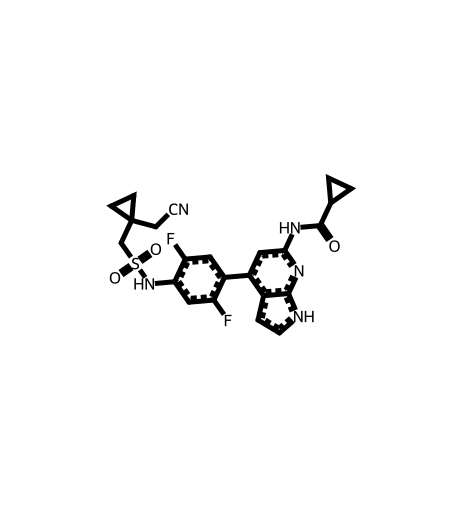 N#CCC1(CS(=O)(=O)Nc2cc(F)c(-c3cc(NC(=O)C4CC4)nc4[nH]ccc34)cc2F)CC1